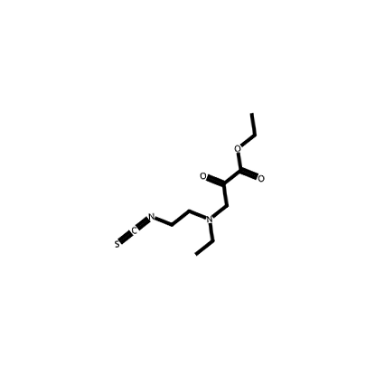 CCOC(=O)C(=O)CN(CC)CCN=C=S